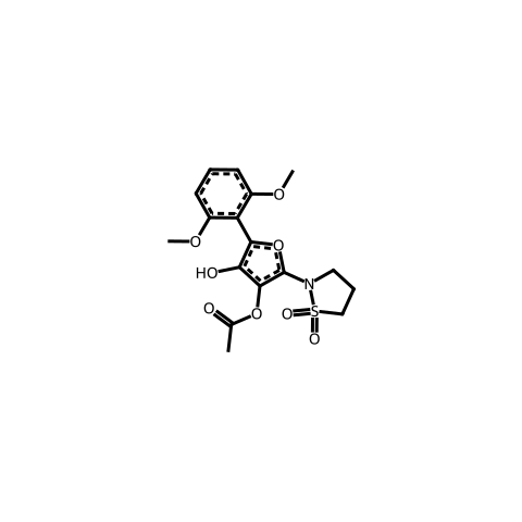 COc1cccc(OC)c1-c1oc(N2CCCS2(=O)=O)c(OC(C)=O)c1O